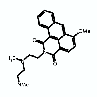 CNCCN(C)CCN1C(=O)c2ccc(OC)c3cc4ccccc4c(c23)C1=O